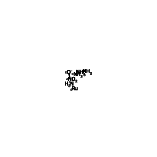 N.N.N.N.O=[N+]([O-])[O-].[Ru]